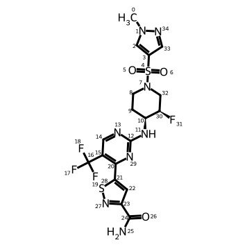 Cn1cc(S(=O)(=O)N2CC[C@H](Nc3ncc(C(F)(F)F)c(-c4cc(C(N)=O)ns4)n3)[C@H](F)C2)cn1